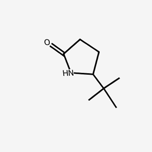 CC(C)(C)C1CCC(=O)N1